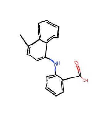 Cc1ccc(Nc2ccccc2C(=O)O)c2ccccc12